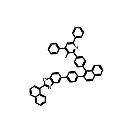 Cc1c(-c2ccccc2)cc(-c2ccccc2)nc1-c1ccc(-c2c(-c3ccc(-c4ccc5oc(-c6cccc7ccccc67)nc5c4)cc3)ccc3ccccc23)cc1